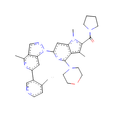 COc1ccncc1-c1cc2c(cnn2-c2cc3c(c(N4CCOCC4)n2)c(C)c(C(=O)N2CCCC2)n3C)c(C)n1